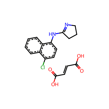 Clc1ccc(NC2=NCCC2)c2ccccc12.O=C(O)C=CC(=O)O